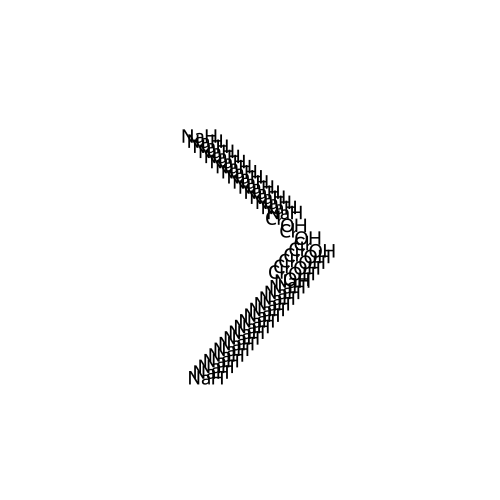 OCl.OCl.OCl.OCl.OCl.OCl.OCl.OCl.[NaH].[NaH].[NaH].[NaH].[NaH].[NaH].[NaH].[NaH].[NaH].[NaH].[NaH].[NaH].[NaH].[NaH].[NaH].[NaH].[NaH].[NaH].[NaH].[NaH].[NaH].[NaH].[NaH].[NaH].[NaH].[NaH].[NaH].[NaH].[NaH].[NaH].[NaH].[NaH].[NaH].[NaH]